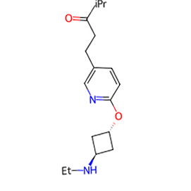 CCN[C@H]1C[C@H](Oc2ccc(CCC(=O)C(C)C)cn2)C1